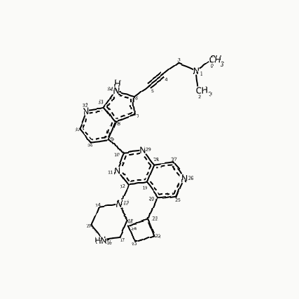 CN(C)CC#Cc1cc2c(-c3nc(N4CCNCC4)c4c(C5CCC5)cncc4n3)ccnc2[nH]1